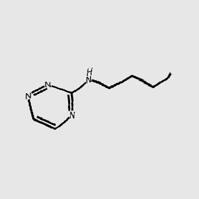 CCCCNc1nccnn1